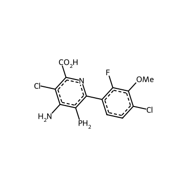 COc1c(Cl)ccc(-c2nc(C(=O)O)c(Cl)c(N)c2P)c1F